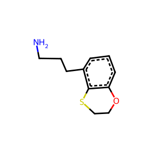 NCCCc1cccc2c1SCCO2